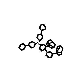 c1ccc(-c2ccc(N(c3ccc(-c4ccccc4)cc3)c3ccc(-c4cccc(C5C6CC7CC(C6)CC5C7)c4)c(C45CC6CC(CC(C6)C4)C5)c3)cc2)cc1